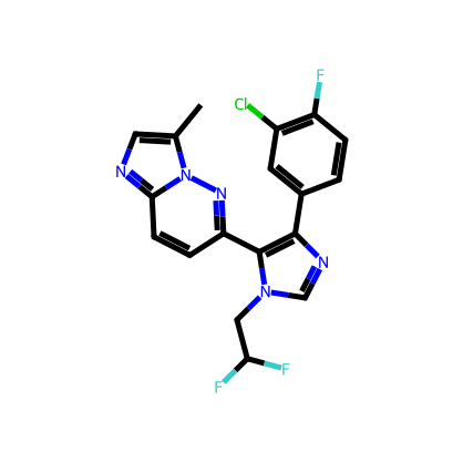 Cc1cnc2ccc(-c3c(-c4ccc(F)c(Cl)c4)ncn3CC(F)F)nn12